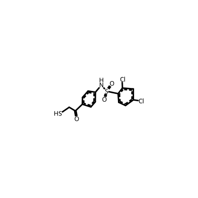 O=C(CS)c1ccc(NS(=O)(=O)c2ccc(Cl)cc2Cl)cc1